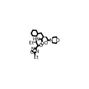 CCc1nc(C(=O)[C@@H](CC)NC(=O)[C@H](CC(=O)N2CCOCC2)CC2CCCCC2)no1